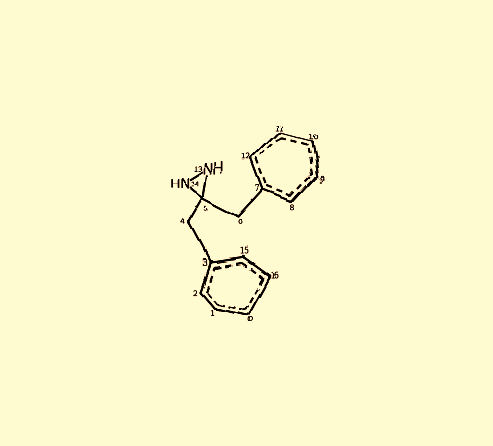 c1ccc(CC2(Cc3ccccc3)NN2)cc1